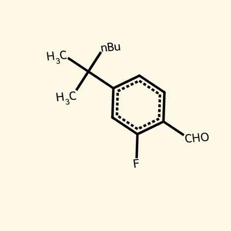 CCCCC(C)(C)c1ccc(C=O)c(F)c1